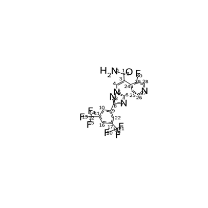 NC(=O)/C(=C/n1cnc(-c2cc(C(F)(F)F)cc(C(F)(F)F)c2)n1)c1ccncc1F